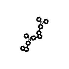 c1ccc(N(c2ccccc2)c2ccc(-c3ccc4c(-c5ccc(N(c6ccccc6)c6ccc(-c7cccc8ccccc78)cc6)cc5)cccc4c3)cc2)cc1